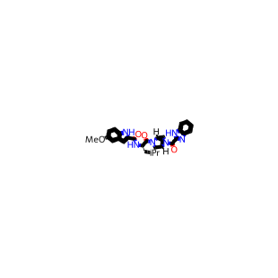 COc1ccc2[nH]c(C(=O)N[C@@H](CC(C)C)C(=O)N3C[C@@H]4C[C@H]3CN4C(=O)c3nc4ccccc4[nH]3)cc2c1